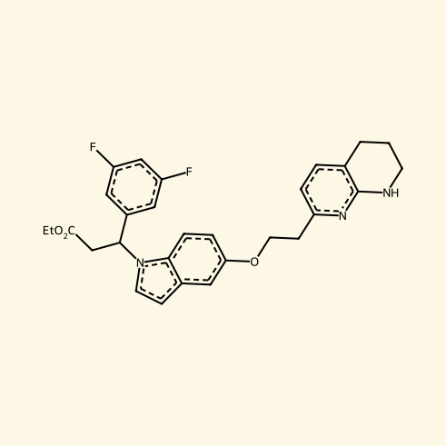 CCOC(=O)CC(c1cc(F)cc(F)c1)n1ccc2cc(OCCc3ccc4c(n3)NCCC4)ccc21